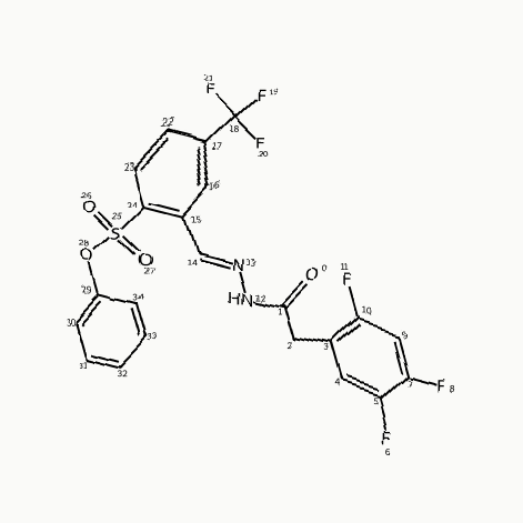 O=C(Cc1cc(F)c(F)cc1F)NN=Cc1cc(C(F)(F)F)ccc1S(=O)(=O)Oc1ccccc1